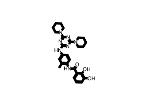 Cc1cc(Nc2nc(N3CCCCC3)nc(N3CCCCC3)n2)ccc1NC(=O)c1cccc(O)c1O